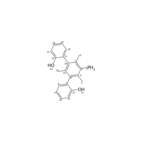 Cc1c(P)c(C)c(-c2ccccc2O)c(C)c1-c1ccccc1O